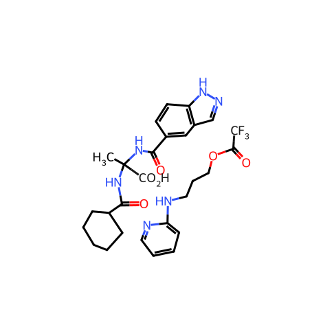 CC(NC(=O)c1ccc2[nH]ncc2c1)(NC(=O)C1CCCCC1)C(=O)O.O=C(OCCCNc1ccccn1)C(F)(F)F